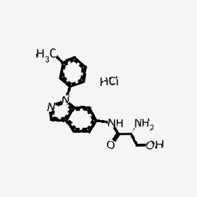 Cc1cccc(-n2ncc3ccc(NC(=O)[C@H](N)CO)cc32)c1.Cl